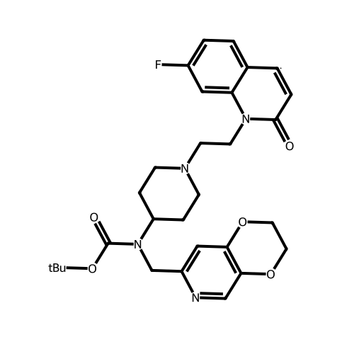 CC(C)(C)OC(=O)N(Cc1cc2c(cn1)OCCO2)C1CCN(CCn2c(=O)c[c]c3ccc(F)cc32)CC1